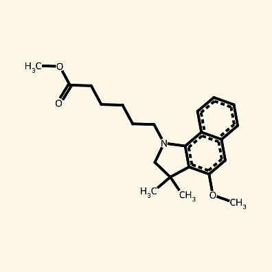 COC(=O)CCCCCN1CC(C)(C)c2c(OC)cc3ccccc3c21